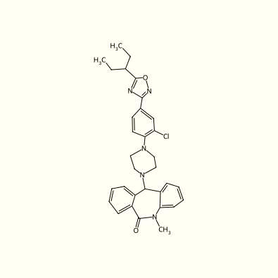 CCC(CC)c1nc(-c2ccc(N3CCN(C4c5ccccc5C(=O)N(C)c5ccccc54)CC3)c(Cl)c2)no1